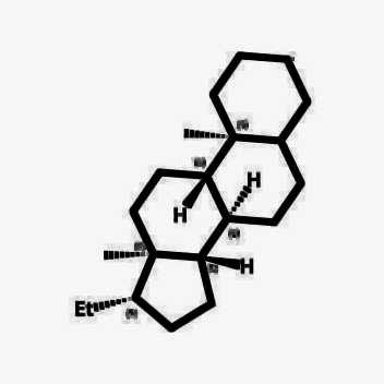 CC[C@H]1CC[C@H]2[C@@H]3CCC4C[CH]CC[C@]4(C)[C@H]3CC[C@]12C